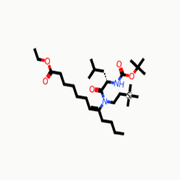 CCCC/C(=C/CCCCCC(=O)OCC)N(CC[Si](C)(C)C)C(=O)[C@H](CC(C)C)NC(=O)OC(C)(C)C